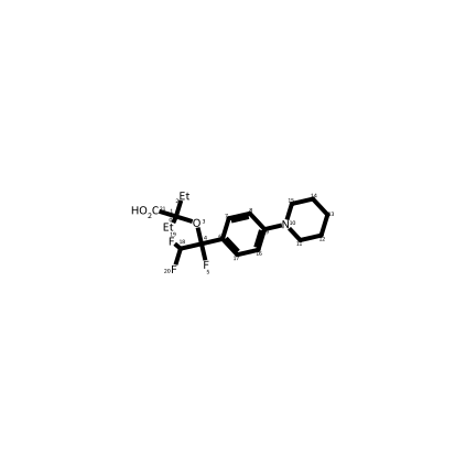 CCC(CC)(OC(F)(c1ccc(N2CCCCC2)cc1)C(F)F)C(=O)O